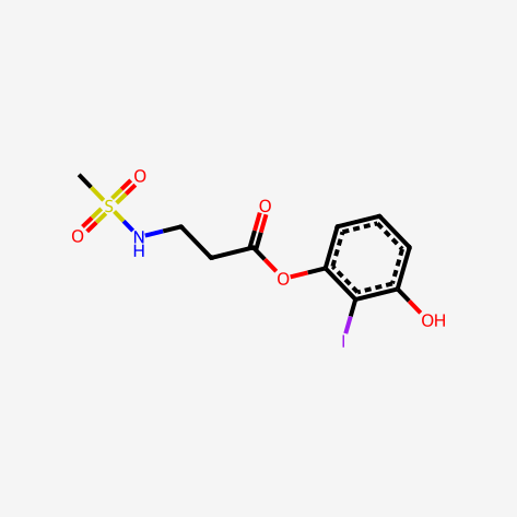 CS(=O)(=O)NCCC(=O)Oc1cccc(O)c1I